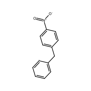 O=[N+]([O-])c1ccc(Cc2[c]cccc2)cc1